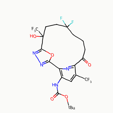 CC(C)(C)OC(=O)Nc1cc(C(F)(F)F)c2nc1-c1nnc(o1)C(O)(C(F)(F)F)CCC(F)(F)CCCC2=O